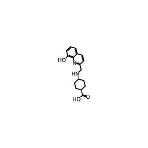 O=C(O)[C@H]1CC[C@H](NCc2ccc3cccc(O)c3n2)CC1